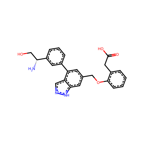 N[C@H](CO)c1cccc(-c2cc(COc3ccccc3CC(=O)O)cc3[nH]ncc23)c1